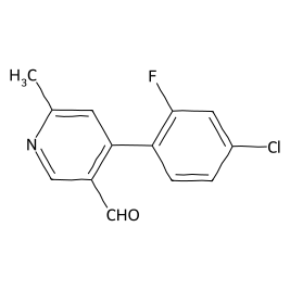 Cc1cc(-c2ccc(Cl)cc2F)c(C=O)cn1